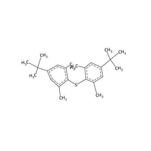 Cc1cc(C(C)(C)C)cc(C)c1Sc1c(C)cc(C(C)(C)C)cc1C